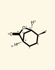 C[C@H]1CC[C@@H]2C[C@H]1OC2=O